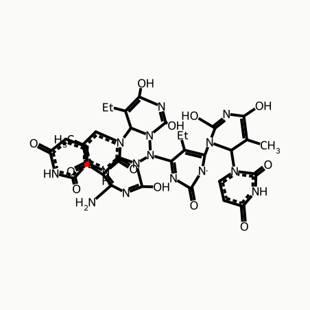 CCC1=C(N2C(O)=NC(O)=C(C)C2n2ccc(=O)[nH]c2=O)[N]C(=O)N=C1N(N1CC(n2ccc(=O)[nH]c2=O)=C(N)N=C1O)N1C(O)=NC(O)=C(CC)C1n1cc(C)c(=O)[nH]c1=O